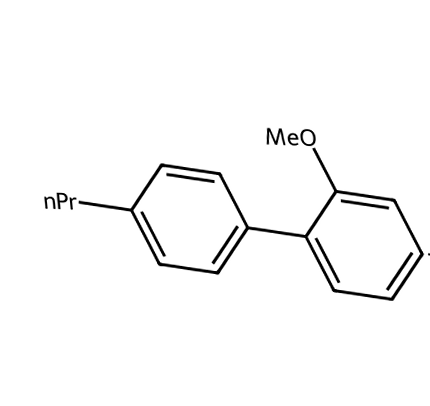 CCCc1ccc(-c2cc[c]cc2OC)cc1